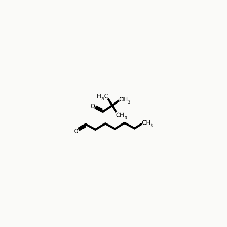 CC(C)(C)C=O.CCCCCCC=O